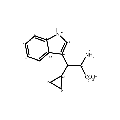 NC(C(=O)O)C(c1c[nH]c2ccccc12)C1CC1